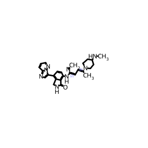 C=N/C(=C\C=C(/C)N1CCC(NC)CC1)Nc1ccc(-c2cnc3cccnn23)c2c1C(=O)NC2